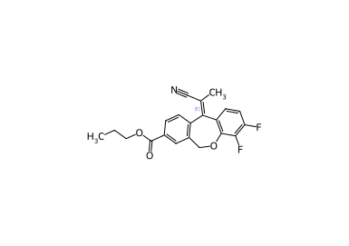 CCCOC(=O)c1ccc2c(c1)COc1c(ccc(F)c1F)/C2=C(\C)C#N